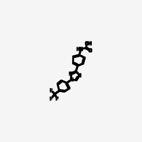 O=C(O)Nc1ccc(-c2ncn(-c3ccc(C(F)(F)F)cc3)n2)cc1